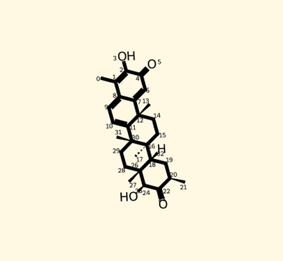 CC1=C(O)C(=O)C=C2C1=CC=C1[C@@]2(C)CC[C@@]2(C)[C@@H]3C[C@@H](C)C(=O)[C@@H](O)[C@]3(C)CC[C@]12C